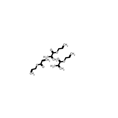 C=CCOC(=O)C(=C)C.C=CCOC(=O)C(=C)C.C=CCOC(=O)C=C